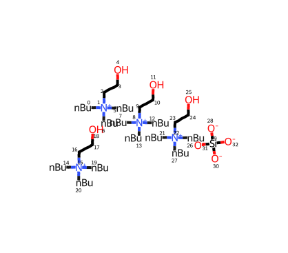 CCCC[N+](CCO)(CCCC)CCCC.CCCC[N+](CCO)(CCCC)CCCC.CCCC[N+](CCO)(CCCC)CCCC.CCCC[N+](CCO)(CCCC)CCCC.[O-][Si]([O-])([O-])[O-]